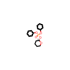 O=P(Oc1ccccc1)(Oc1ccccc1)O[C@H]1CCCCO1